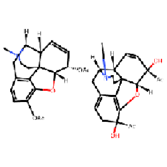 CC(=O)C1(O)CC=C2C[C@@H]3[C@@H]4C=C[C@@](O)(C(C)=O)[C@@H]5OC1=C2[C@@]54CCN3C.CC(=O)Oc1ccc2c3c1O[C@H]1[C@@H](OC(C)=O)C=C[C@H]4[C@@H](C2)N(C)CC[C@@]341